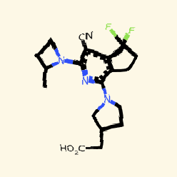 CC1CCN1c1nc(N2CCC(CC(=O)O)C2)c2c(c1C#N)C(F)(F)CC2